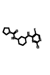 O=C(N[C@@H]1CCCC(Nc2nc(Cl)ncc2F)C1)N1CCCC1